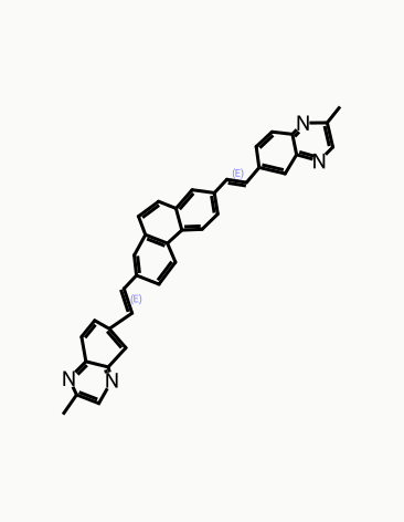 Cc1cnc2cc(/C=C/c3ccc4c(ccc5cc(/C=C/c6ccc7nc(C)cnc7c6)ccc54)c3)ccc2n1